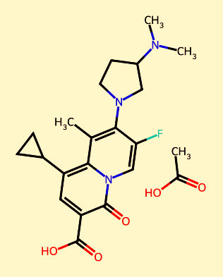 CC(=O)O.Cc1c(N2CCC(N(C)C)C2)c(F)cn2c(=O)c(C(=O)O)cc(C3CC3)c12